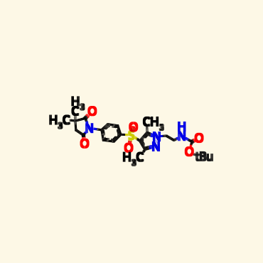 Cc1nn(CCNC(=O)OC(C)(C)C)c(C)c1S(=O)(=O)c1ccc(N2C(=O)CC(C)(C)C2=O)cc1